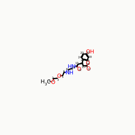 COCCOCCNCCNC(=O)CC1CC(=O)Oc2cc(O)ccc21